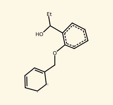 CCC(O)c1ccccc1OCC1=CC=C[CH][C]1